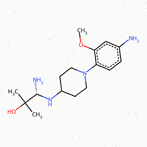 COc1cc(N)ccc1N1CCC(N[C@@H](N)C(C)(C)O)CC1